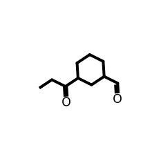 CCC(=O)C1CCCC(C=O)C1